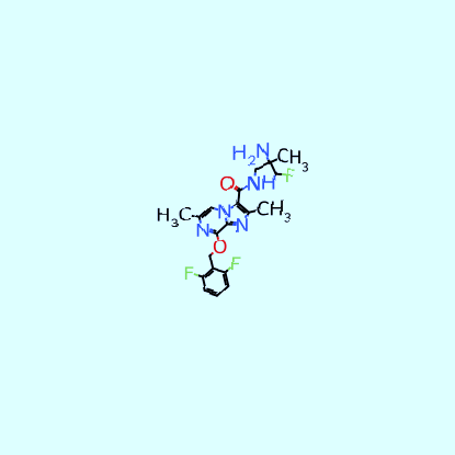 Cc1cn2c(C(=O)NCC(C)(N)CF)c(C)nc2c(OCc2c(F)cccc2F)n1